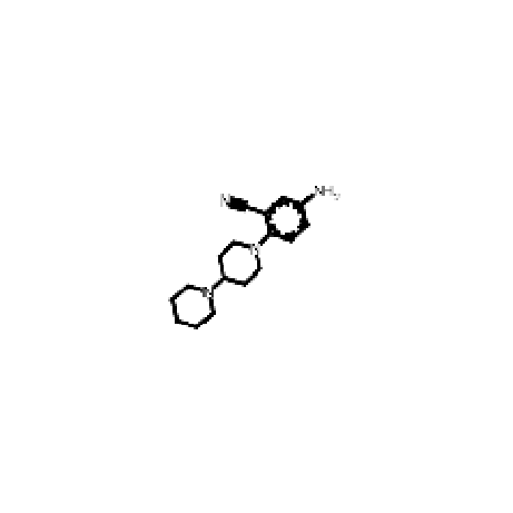 N#Cc1cc(N)ccc1N1CCC(N2CCCCC2)CC1